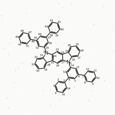 c1ccc(-c2cc(-c3ccccc3)cc(-n3c4ccccc4c4cc5c(cc43)c3ccccc3n5-c3cc(-c4ccccc4)cc(-c4ccccc4)c3)c2)cc1